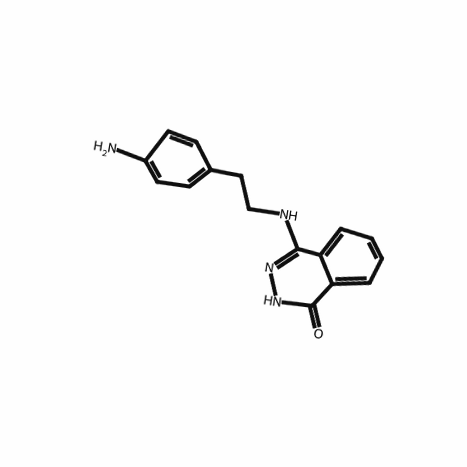 Nc1ccc(CCNc2n[nH]c(=O)c3ccccc23)cc1